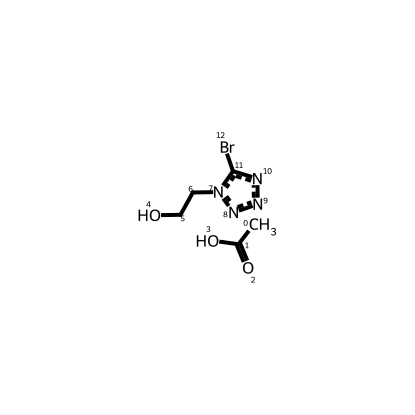 CC(=O)O.OCCn1nnnc1Br